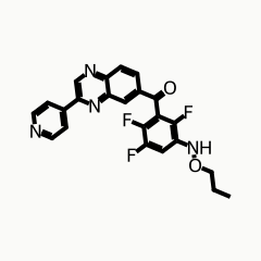 CCCONc1cc(F)c(F)c(C(=O)c2ccc3ncc(-c4ccncc4)nc3c2)c1F